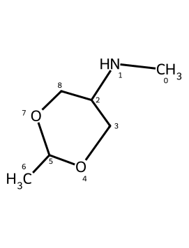 CNC1COC(C)OC1